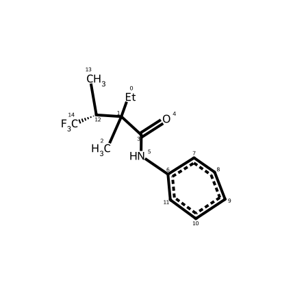 CCC(C)(C(=O)Nc1ccccc1)[C@@H](C)C(F)(F)F